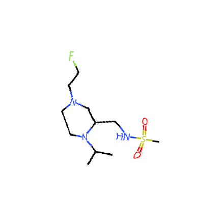 CC(C)N1CCN(CCF)CC1CNS(C)(=O)=O